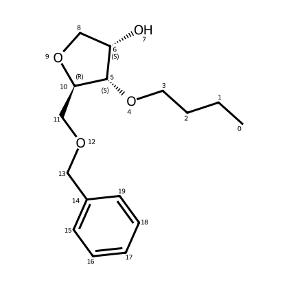 CCCCO[C@H]1[C@@H](O)CO[C@@H]1COCc1ccccc1